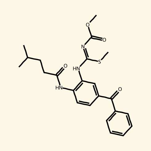 COC(=O)N=C(Nc1cc(C(=O)c2ccccc2)ccc1NC(=O)CCC(C)C)SC